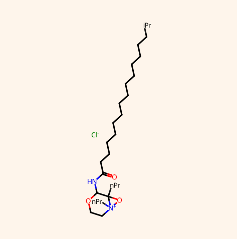 CCCC12O[N+]1(CCC)CCOC2NC(=O)CCCCCCCCCCCCCCC(C)C.[Cl-]